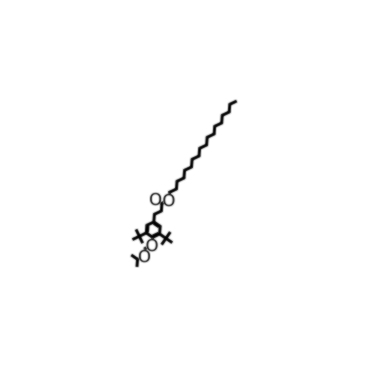 CCCCCCCCCCCCCCCCCCOC(=O)CCc1cc(C(C)(C)C)c(OCOC(C)C)c(C(C)(C)C)c1